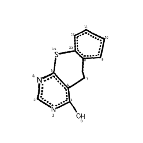 Oc1ncnc2c1Cc1ccccc1S2